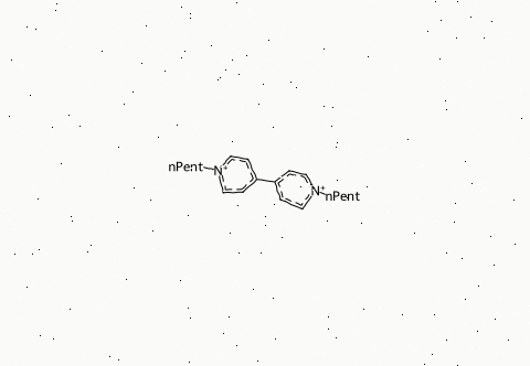 CCCCC[n+]1ccc(-c2cc[n+](CCCCC)cc2)cc1